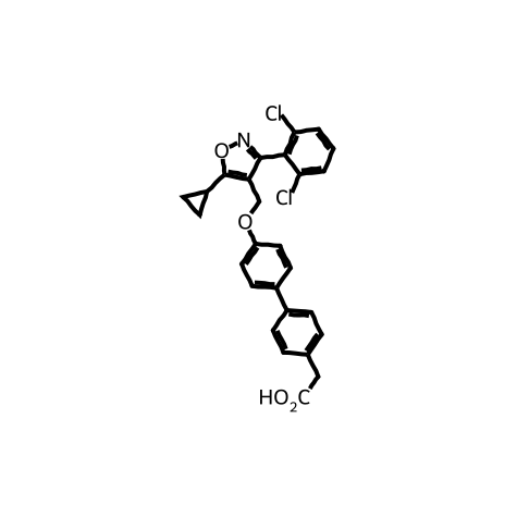 O=C(O)Cc1ccc(-c2ccc(OCc3c(-c4c(Cl)cccc4Cl)noc3C3CC3)cc2)cc1